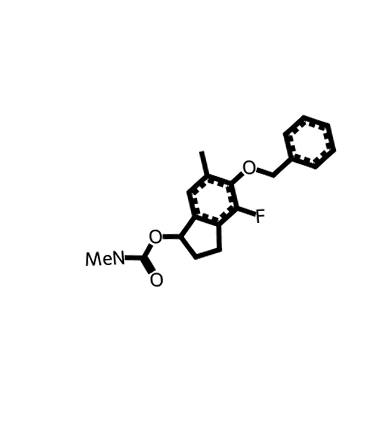 CNC(=O)OC1CCc2c1cc(C)c(OCc1ccccc1)c2F